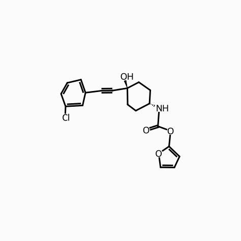 O=C(N[C@H]1CC[C@@](O)(C#Cc2cccc(Cl)c2)CC1)Oc1ccco1